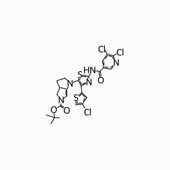 CC(C)(C)OC(=O)N1C=C2C(CCN2c2sc(NC(=O)c3cnc(Cl)c(Cl)c3)nc2-c2cc(Cl)cs2)C1